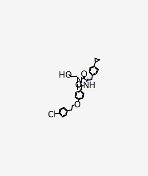 O=C(NCCO)/C(=C\c1ccc(C2CC2)cc1)NC(=O)c1ccc(OCCc2ccc(Cl)cc2)cc1